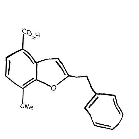 COc1ccc(C(=O)O)c2cc(Cc3ccccc3)oc12